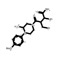 CCCC(C(N)=O)C(CC(C)C)C(=O)N1CCN(c2ccc(OC)cc2)C(C)C1